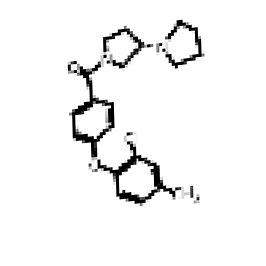 Cc1ccc(Oc2ccc(C(=O)N3CC[C@H](N4CCCC4)C3)cc2)c(Cl)c1